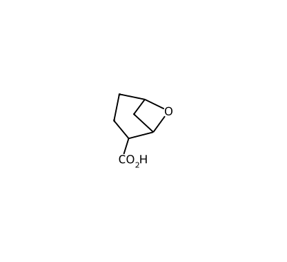 O=C(O)C1CCC2CC1O2